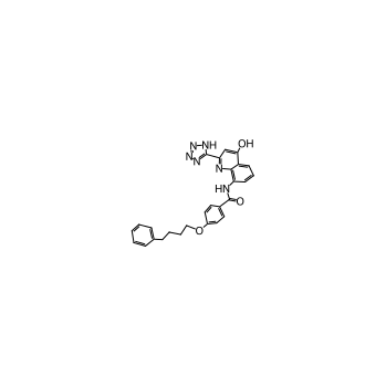 O=C(Nc1cccc2c(O)cc(-c3nnn[nH]3)nc12)c1ccc(OCCCCc2ccccc2)cc1